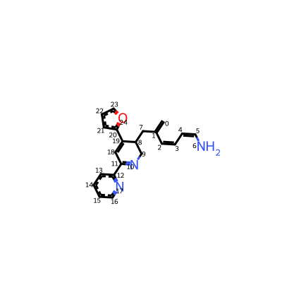 C=C(/C=C\C=C/N)CC1CN=C(c2ccccn2)C=C1c1ccco1